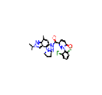 Cc1cc(NC(=O)c2ccc(=O)n(-c3c(F)cccc3F)n2)c(N2CCCC2)c2cn(C(C)C)nc12